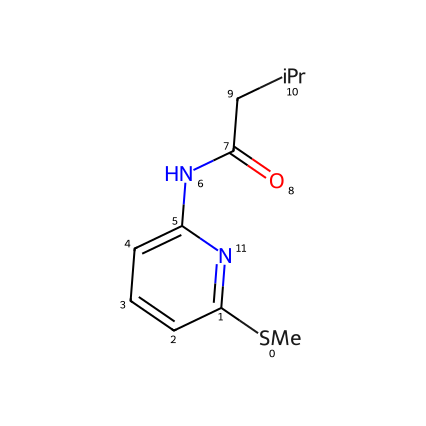 CSc1cccc(NC(=O)CC(C)C)n1